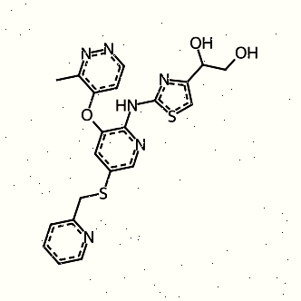 Cc1nnccc1Oc1cc(SCc2ccccn2)cnc1Nc1nc(C(O)CO)cs1